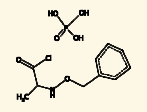 CC(NOCc1ccccc1)C(=O)Cl.O=P(O)(O)O